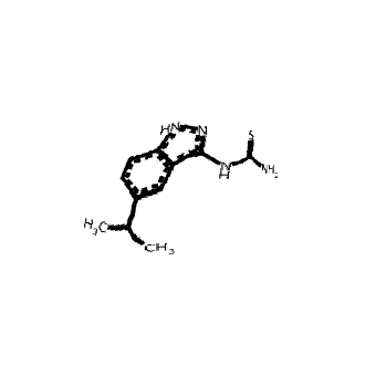 CC(C)c1ccc2[nH]nc(NC(N)=S)c2c1